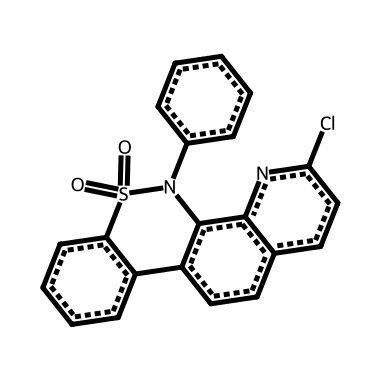 O=S1(=O)c2ccccc2-c2ccc3ccc(Cl)nc3c2N1c1ccccc1